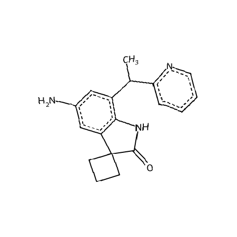 CC(c1ccccn1)c1cc(N)cc2c1NC(=O)C21CCC1